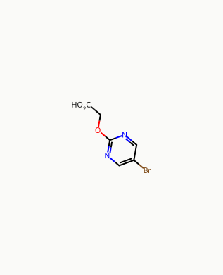 O=C(O)COc1ncc(Br)cn1